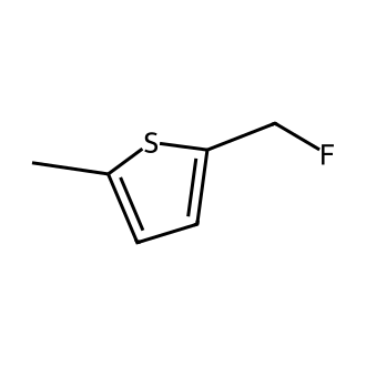 Cc1ccc(CF)s1